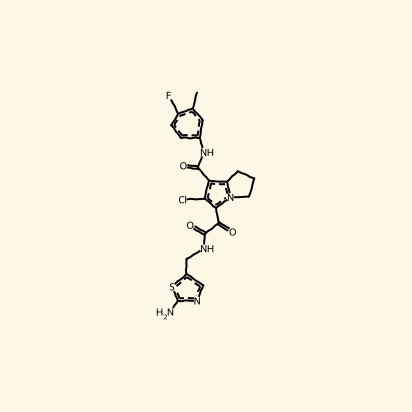 Cc1cc(NC(=O)c2c(Cl)c(C(=O)C(=O)NCc3cnc(N)s3)n3c2CCC3)ccc1F